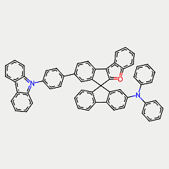 c1ccc(N(c2ccccc2)c2ccc3c(c2)C2(c4ccccc4-3)c3cc(-c4ccc(-n5c6ccccc6c6ccccc65)cc4)ccc3-c3c2oc2ccccc32)cc1